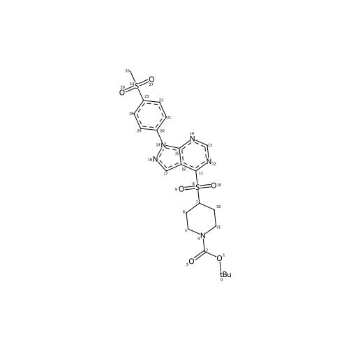 CC(C)(C)OC(=O)N1CCC(S(=O)(=O)c2ncnc3c2cnn3-c2ccc(S(C)(=O)=O)cc2)CC1